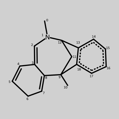 CN1C=C2C=CCC=C2C2(C)CC1c1ccccc12